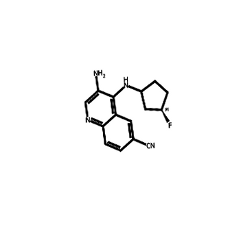 N#Cc1ccc2ncc(N)c(NC3CC[C@@H](F)C3)c2c1